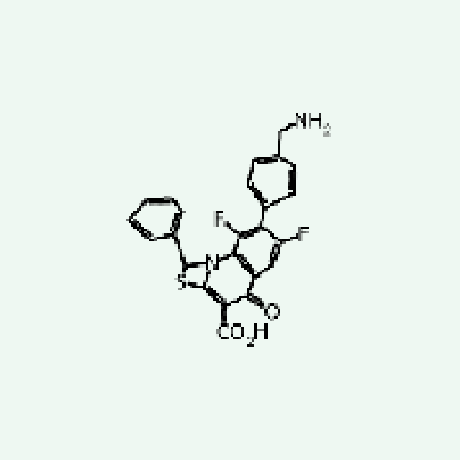 NCc1ccc(-c2c(F)cc3c(=O)c(C(=O)O)c4n(c3c2F)C(c2ccccc2)S4)cc1